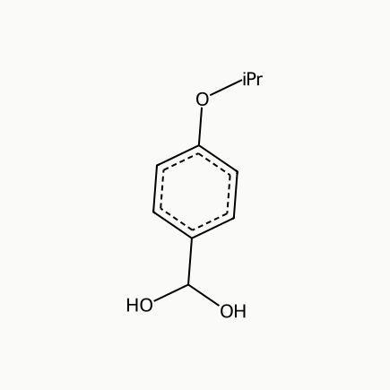 CC(C)Oc1ccc(C(O)O)cc1